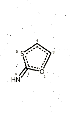 N=c1occs1